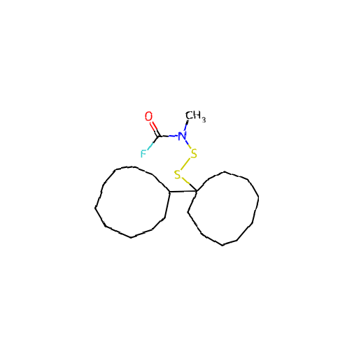 CN(SSC1(C2CCCCCCCCC2)CCCCCCCCC1)C(=O)F